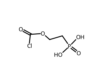 O=C(Cl)OCCP(=O)(O)O